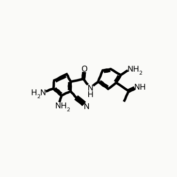 CC(=N)c1cc(NC(=O)c2ccc(N)c(N)c2C#N)ccc1N